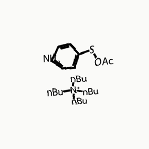 CC(=O)OSc1ccccc1.CCCC[N+](CCCC)(CCCC)CCCC.N